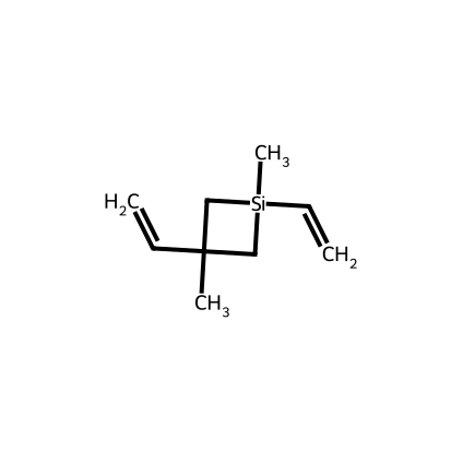 C=CC1(C)C[Si](C)(C=C)C1